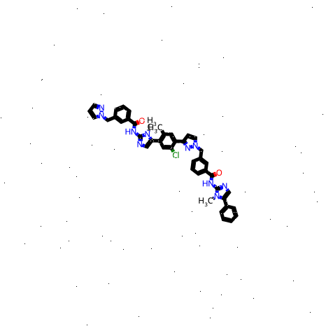 Cc1cc(-c2ccn(Cc3cccc(C(=O)Nc4ncc(-c5ccccc5)n4C)c3)n2)c(Cl)cc1-c1cnc(NC(=O)c2cccc(Cn3cccn3)c2)n1C